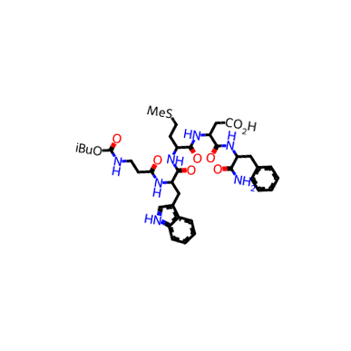 CSCCC(NC(=O)C(Cc1c[nH]c2ccccc12)NC(=O)CCNC(=O)OCC(C)C)C(=O)NC(CC(=O)O)C(=O)NC(Cc1ccccc1)C(N)=O